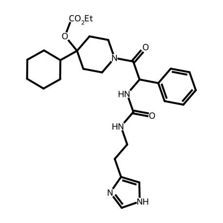 CCOC(=O)OC1(C2CCCCC2)CCN(C(=O)C(NC(=O)NCCc2c[nH]cn2)c2ccccc2)CC1